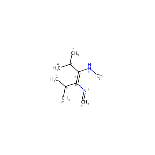 C=N/C(=C(\NC)C(C)C)C(C)C